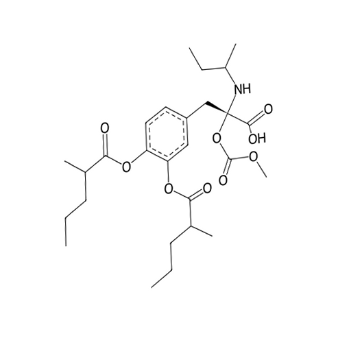 CCCC(C)C(=O)Oc1ccc(C[C@](NC(C)CC)(OC(=O)OC)C(=O)O)cc1OC(=O)C(C)CCC